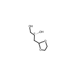 OC[C@H](O)CC1OCCO1